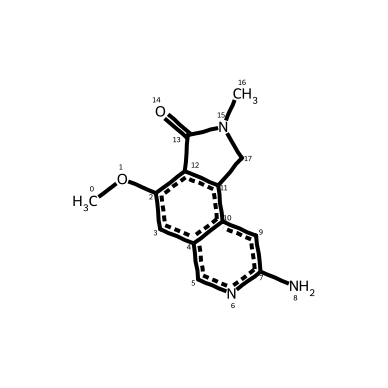 COc1cc2cnc(N)cc2c2c1C(=O)N(C)C2